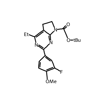 CCc1nc(-c2ccc(OC)c(F)c2)nc2c1CCN2C(=O)OC(C)(C)C